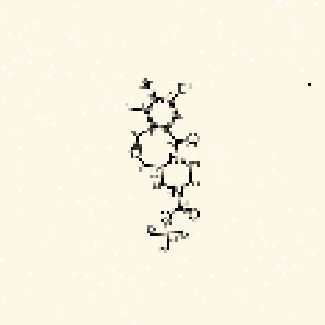 Cc1c(Br)c(Cl)cc2c1COCC1CN(C(=O)OC(C)(C)C)CCN1C2=O